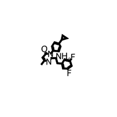 Cc1cc(=O)n(-c2ccc(C3CC3)cc2)c([C@@H](N)Cc2cc(F)cc(F)c2)n1